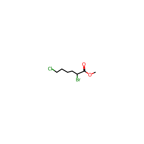 COC(=O)C(Br)CCCCCl